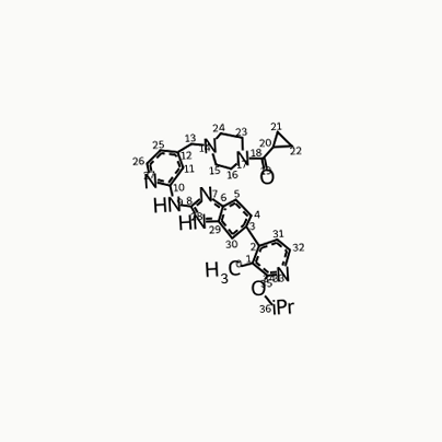 Cc1c(-c2ccc3nc(Nc4cc(CN5CCN(C(=O)C6CC6)CC5)ccn4)[nH]c3c2)ccnc1OC(C)C